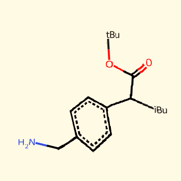 CCC(C)C(C(=O)OC(C)(C)C)c1ccc(CN)cc1